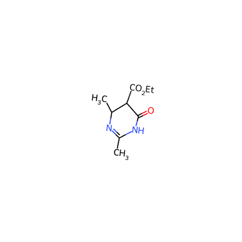 CCOC(=O)C1C(=O)NC(C)=NC1C